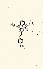 CCOC(=O)C(CCCCc1ccc(C)cc1)(C(=O)OCC)c1ccccc1